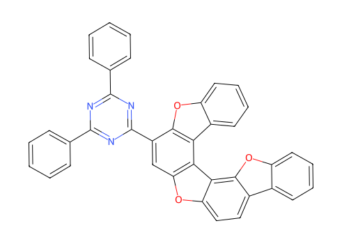 c1ccc(-c2nc(-c3ccccc3)nc(-c3cc4oc5ccc6c7ccccc7oc6c5c4c4c3oc3ccccc34)n2)cc1